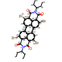 CCC(CC)N1C(=O)c2c(Br)cc3c4cc(Br)c5c6c(c(Br)cc(c7cc(Br)c(c2c37)C1=O)c64)C(=O)N(C(CC)CC)C5=O